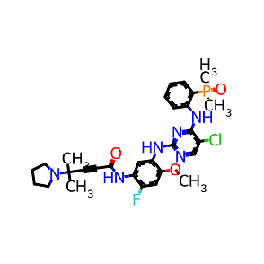 COc1cc(F)c(NC(=O)C#CC(C)(C)N2CCCC2)cc1Nc1ncc(Cl)c(Nc2ccccc2P(C)(C)=O)n1